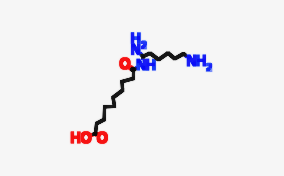 NCCCCCC(N)NC(=O)CCCCCCCCC(=O)O